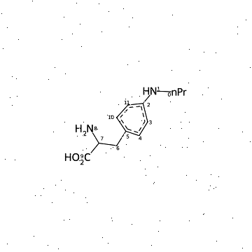 CCCNc1ccc(CC(N)C(=O)O)cc1